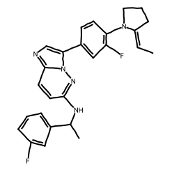 C/C=C1\CCCN1c1ccc(-c2cnc3ccc(NC(C)c4cccc(F)c4)nn23)cc1F